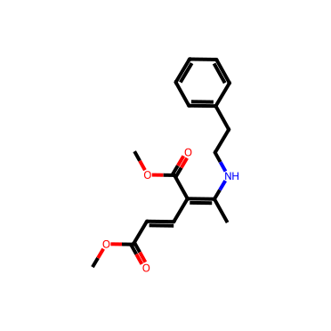 COC(=O)C=CC(C(=O)OC)=C(C)NCCc1ccccc1